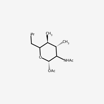 CC(=O)NC1[C@H](OC(C)=O)OC(CC(C)C)[C@@H](C)[C@@H]1C